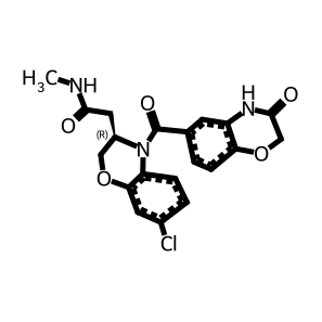 CNC(=O)C[C@@H]1COc2cc(Cl)ccc2N1C(=O)c1ccc2c(c1)NC(=O)CO2